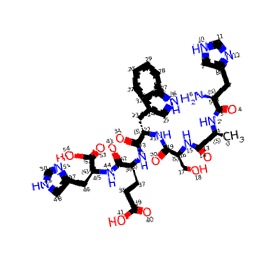 C[C@H](NC(=O)[C@@H](N)Cc1c[nH]cn1)C(=O)N[C@@H](CO)C(=O)N[C@@H](Cc1c[nH]c2ccccc12)C(=O)N[C@@H](CCC(=O)O)C(=O)N[C@@H](Cc1c[nH]cn1)C(=O)O